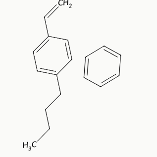 C=Cc1ccc(CCCC)cc1.c1ccccc1